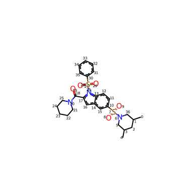 CC1CC(C)CN(S(=O)(=O)c2ccc3c(c2)cc(C(=O)N2CCCCC2)n3S(=O)(=O)c2ccccc2)C1